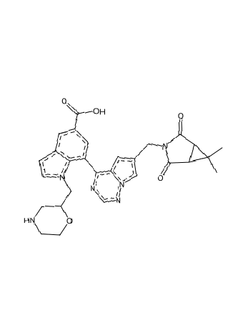 CC1(C)C2C(=O)N(Cc3cc4c(-c5cc(C(=O)O)cc6ccn(CC7CNCCO7)c56)ncnn4c3)C(=O)C21